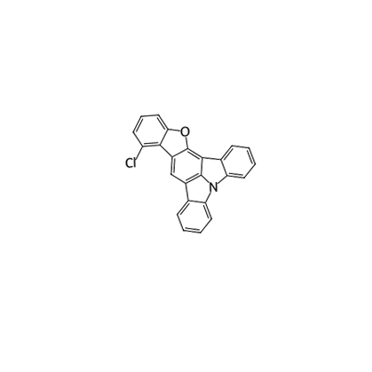 Clc1cccc2oc3c(cc4c5ccccc5n5c6ccccc6c3c45)c12